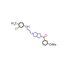 COc1cccc(C(=O)N2CC3CN(CCCNc4ccc(C)c(Cl)c4)CC3C2)c1